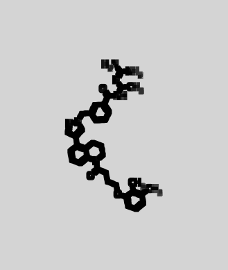 Cc1cccc(OCCCC(=O)N2CCCc3c(-c4cnn(Cc5cccc(C(=O)NC(C)N=C(N)N)c5)c4)cccc32)c1C